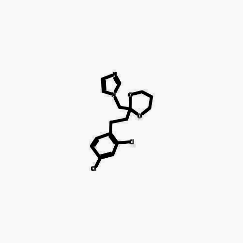 Clc1ccc(CCC2(Cn3ccnc3)OCCCO2)c(Cl)c1